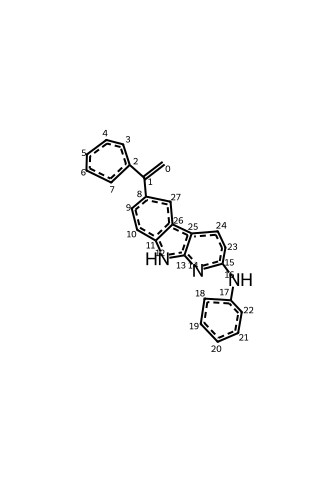 C=C(c1ccccc1)c1ccc2[nH]c3nc(Nc4ccccc4)ccc3c2c1